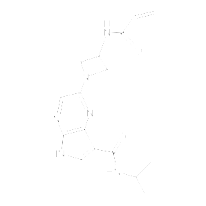 C=CC(=O)NC1CN(c2cnc3[nH]cc(C(=O)NC(C)C)c3n2)C1